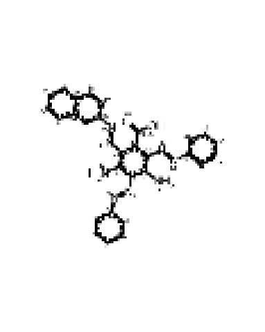 Nc1c(N=Nc2ccccc2)c(N)c(N=Nc2ccc3ccccc3c2)c(C(=O)O)c1N=Nc1ccccc1